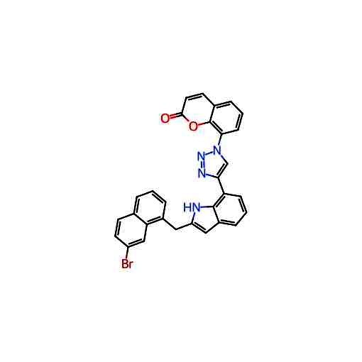 O=c1ccc2cccc(-n3cc(-c4cccc5cc(Cc6cccc7ccc(Br)cc67)[nH]c45)nn3)c2o1